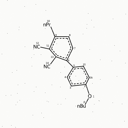 CCCCOc1ccc(-c2ccc(CCC)c(C#N)c2C#N)cc1